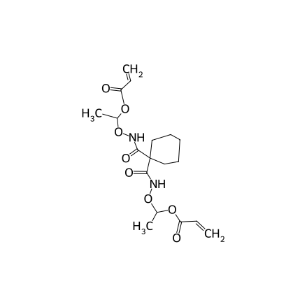 C=CC(=O)OC(C)ONC(=O)C1(C(=O)NOC(C)OC(=O)C=C)CCCCC1